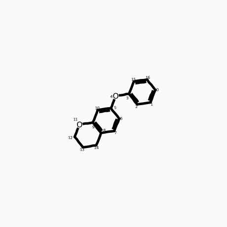 c1ccc(Oc2ccc3c(c2)OCCC3)cc1